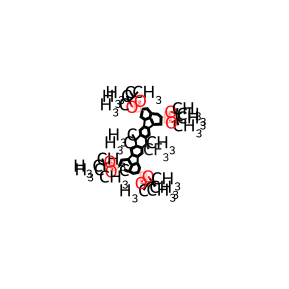 CC1(C)c2cc3c(cc2C(C)(C(F)(F)F)c2cc4c(cc21)-c1cc(B2OC(C)(C)C(C)(C)O2)cc2cc(B5OC(C)(C)C(C)(C)O5)cc-4c12)-c1cc(B2OC(C)(C)C(C)(C)O2)cc2cc(B4OC(C)(C)C(C)(C)O4)cc-3c12